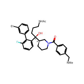 CCc1cccc(-c2c(F)cccc2[C@](O)(CCCNC(C)=O)[C@@H]2CCCN(C(=O)c3ccc(CNC)cc3)C2)c1